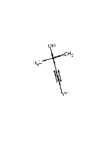 [CH2]CCC#CC(C)(C)O